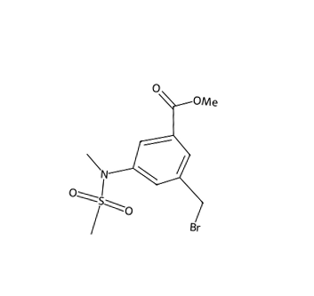 COC(=O)c1cc(CBr)cc(N(C)S(C)(=O)=O)c1